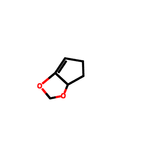 C1=C2OCOC2CC1